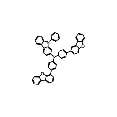 C1=CC(N(c2ccc(-c3cccc4c3oc3ccccc34)cc2)c2ccc3c4ccccc4n(-c4ccccc4)c3c2)CC=C1c1ccc2oc3ccccc3c2c1